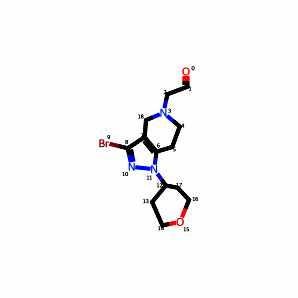 O=CCN1CCc2c(c(Br)nn2C2CCOCC2)C1